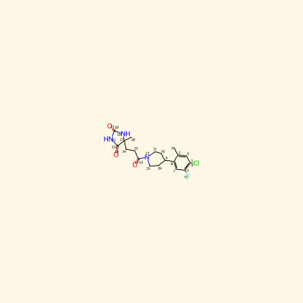 Cc1cc(Cl)c(F)cc1C1CCN(C(=O)CCC2(C)NC(=O)NC2=O)CC1